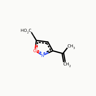 C=C(C)c1cc(C(=O)O)on1